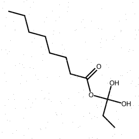 CCCCCCCC(=O)OC(O)(O)CC